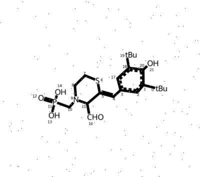 CC(C)(C)c1cc(C=C2SCCN(CP(=O)(O)O)C2C=O)cc(C(C)(C)C)c1O